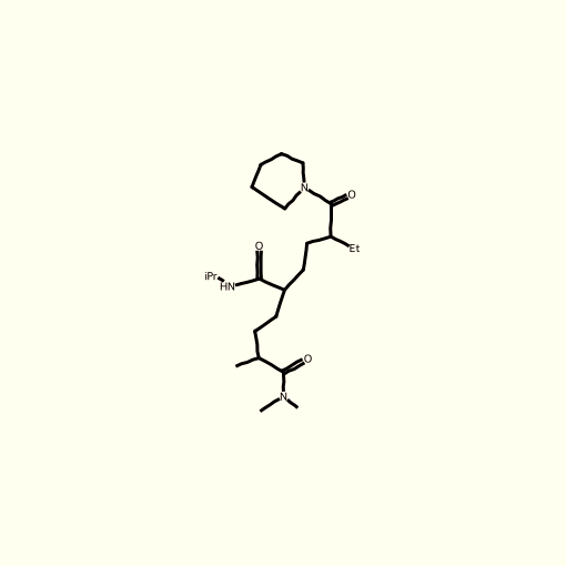 CCC(CCC(CCC(C)C(=O)N(C)C)C(=O)NC(C)C)C(=O)N1CCCCC1